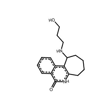 O=c1[nH]c2c(c3ccccc13)C(NCCCO)CCCC2